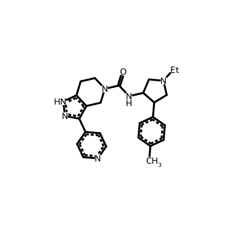 CCN1CC(NC(=O)N2CCc3[nH]nc(-c4ccncc4)c3C2)C(c2ccc(C)cc2)C1